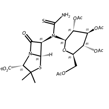 CC(=O)OC[C@H]1O[C@@H](N(C(N)=S)[C@@H]2C(=O)N3[C@@H]2SC(C)(C)[C@@H]3C(=O)O)[C@H](OC(C)=O)[C@@H](OC(C)=O)[C@@H]1OC(C)=O